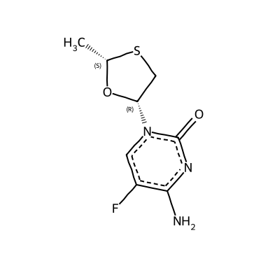 C[C@H]1O[C@@H](n2cc(F)c(N)nc2=O)CS1